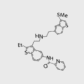 CCc1sc2ccc(NC(=O)c3ccccn3)cc2c1CCNCCc1ccc2scc(SC)c2c1